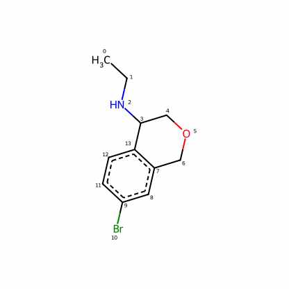 CCNC1COCc2cc(Br)ccc21